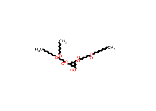 CCCCCC=CCCOC(=O)CCCCC(=O)OCc1cc(CO)cc(COC(=O)CCC(OCCCCCCCC)OCCCCCCCC)c1